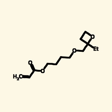 C=CC(=O)OCCCCOCC1(CC)CCO1